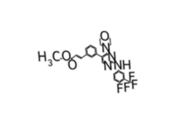 CCOC(=O)C=Cc1cccc(-c2cnc(Nc3ccc(F)c(C(F)(F)F)c3)nc2N2CCOCC2)c1